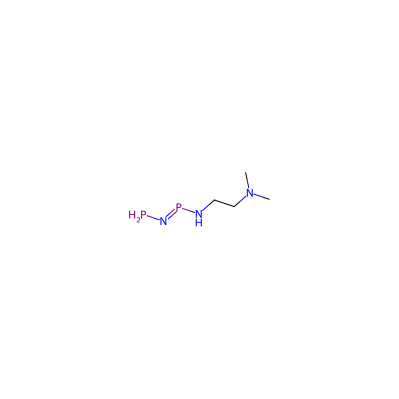 CN(C)CCNP=NP